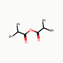 CC(C)C(C(=O)OC(=O)C(C(C)C)C(C)C)C(C)C